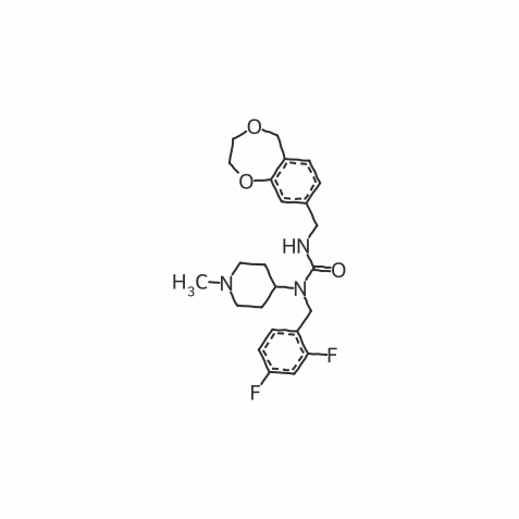 CN1CCC(N(Cc2ccc(F)cc2F)C(=O)NCc2ccc3c(c2)OCCOC3)CC1